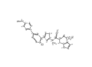 COc1ccc(-c2ccc(Cl)c(-c3csc(N(C)C(=O)C(CC(=O)O)Cc4ccco4)n3)c2)cn1